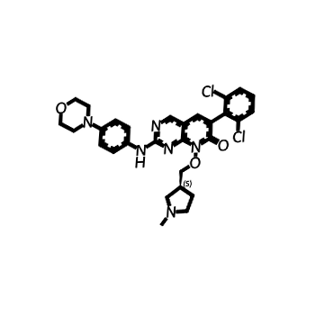 CN1CC[C@H](COn2c(=O)c(-c3c(Cl)cccc3Cl)cc3cnc(Nc4ccc(N5CCOCC5)cc4)nc32)C1